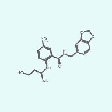 CCCCC(CCO)Nc1ccc([N+](=O)[O-])cc1C(=O)NCc1ccc2c(c1)OCO2